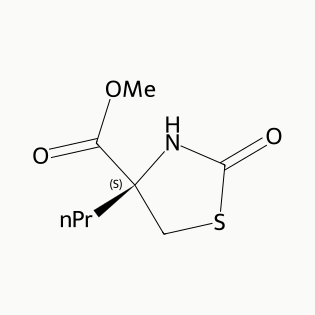 CCC[C@]1(C(=O)OC)CSC(=O)N1